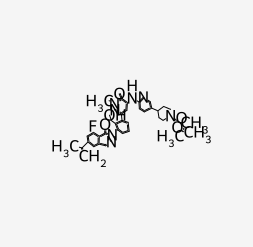 C=C(C)c1cc(F)c2c(=O)n(-c3cccc(-c4cc(Nc5ccc(C6CCN(C(=O)OC(C)(C)C)CC6)cn5)c(=O)n(C)n4)c3CO)ncc2c1